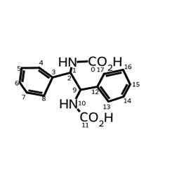 O=C(O)NC(c1ccccc1)C(NC(=O)O)c1ccccc1